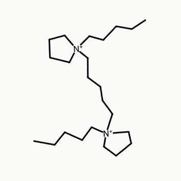 CCCCC[N+]1(CCCCC[N+]2(CCCCC)CCCC2)CCCC1